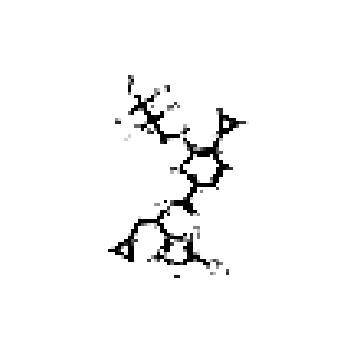 Cc1nc(C(CC2CC2)NC(=O)c2ccc(C3CC3)c(OCC(F)(F)C(F)(F)F)n2)no1